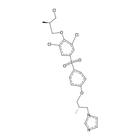 C[C@H](COc1ccc(S(=O)(=O)c2cc(Cl)c(OC[C@@H](C)CCl)c(Cl)c2)cc1)Cn1ccnc1